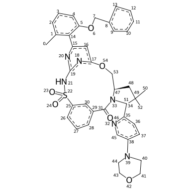 Cc1cccc(OCc2ccccc2)c1-c1cc2nc(n1)NS(=O)(=O)c1cccc(c1)C(=O)N(Cc1ccc(N3CCOCC3)cn1)[C@H](CC(C)(C)C)CO2